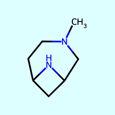 CN1CCC2CC(C1)N2